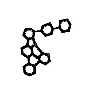 c1ccc(-c2ccc(-c3cccc4c5ccc6c7ccccc7c7ccnc8c7c6c5n8c34)cc2)cc1